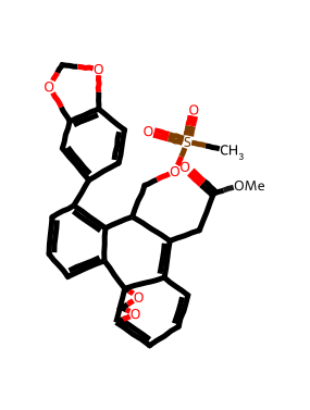 COC(=O)CC1=C2C=CC=C3OCOC32c2cccc(-c3ccc4c(c3)OCO4)c2C1COS(C)(=O)=O